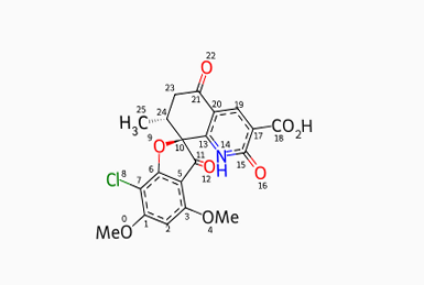 COc1cc(OC)c2c(c1Cl)O[C@]1(C2=O)c2[nH]c(=O)c(C(=O)O)cc2C(=O)C[C@H]1C